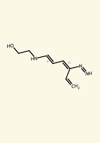 C=C/C(=C\C=C\NCCO)N=N